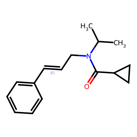 CC(C)N(C/C=C/c1ccccc1)C(=O)C1CC1